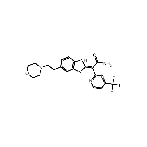 NC(=O)/C(=C1\Nc2ccc(CCN3CCOCC3)cc2N1)c1nccc(C(F)(F)F)n1